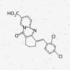 O=C(O)c1ccc2nc3c(c(=O)n2c1)CCCC3=Cc1ccc(Cl)cc1Cl